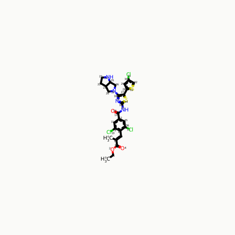 CCOC(=O)/C(C)=C/c1c(Cl)cc(C(=O)Nc2nc(N3CC4CCNC4C3)c(-c3cc(Cl)cs3)s2)cc1Cl